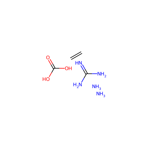 C=C.N.N.N=C(N)N.O=C(O)O